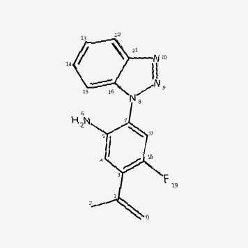 C=C(C)c1cc(N)c(-n2nnc3ccccc32)cc1F